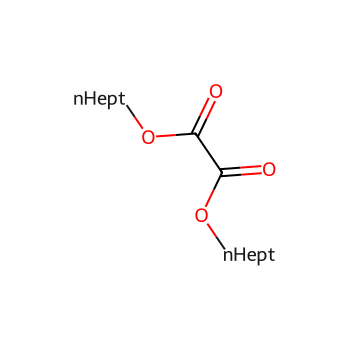 CCCCCCCOC(=O)C(=O)OCCCCCCC